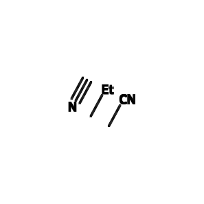 C#N.CC#N.CCC